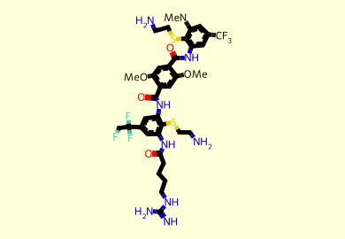 CNc1cc(C(F)(F)F)cc(NC(=O)c2cc(OC)c(C(=O)Nc3cc(C(F)(F)CF)cc(NC(=O)CCCCNC(=N)N)c3SCCN)cc2OC)c1SCCN